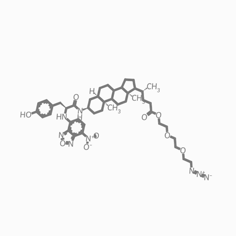 C[C@H](CCC(=O)OCCOCCOCCN=[N+]=[N-])C1CCC2C3CC[C@@H]4C[C@H](NC(=O)[C@H](Cc5ccc(O)cc5)Nc5ccc([N+](=O)[O-])c6nonc56)CC[C@]4(C)C3CC[C@@]21C